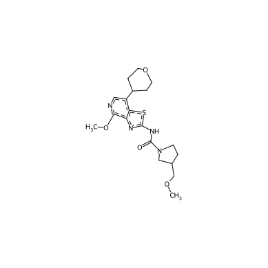 COCC1CCN(C(=O)Nc2nc3c(OC)ncc(C4CCOCC4)c3s2)C1